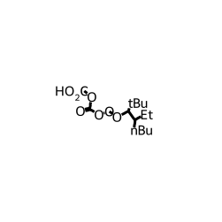 CCCCC(CC)C(OOOC(=O)OC(=O)O)C(C)(C)C